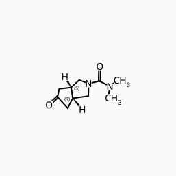 CN(C)C(=O)N1C[C@H]2CC(=O)C[C@H]2C1